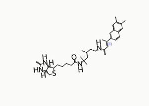 C=C(/C=C(\C)c1ccc2cc(C)c(C)cc2c1)NCCC(C)CC(C)(C)NC(=O)CCCCC1SC[C@@H]2NC(=C)N[C@H]12